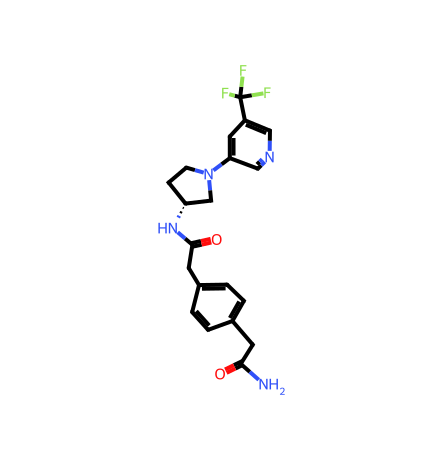 NC(=O)Cc1ccc(CC(=O)N[C@@H]2CCN(c3cncc(C(F)(F)F)c3)C2)cc1